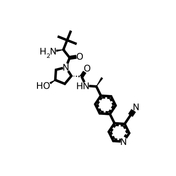 C[C@H](NC(=O)[C@@H]1C[C@@H](O)CN1C(=O)[C@@H](N)C(C)(C)C)c1ccc(-c2ccncc2C#N)cc1